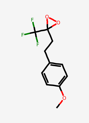 COc1ccc(CCC2(C(F)(F)F)OO2)cc1